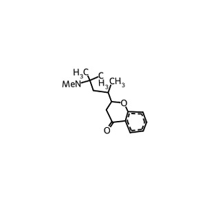 CNC(C)(C)CC(C)C1CC(=O)c2ccccc2O1